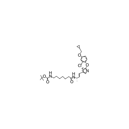 C[C@@H](/C=C/c1cnc(Oc2ccc(OCC3CC3)cc2Cl)s1)NC(=O)CCCCCCNC(=O)OC(C)(C)C